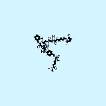 CNC(=O)CCCN(C)C(=O)OCc1ccc(NC(=O)CNC(=O)[C@H](Cc2ccccc2)NC(=O)CNC(=O)CNC(=O)CCCCCN2C(=O)C=CC2=O)cc1